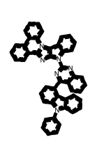 c1ccc(-n2c3ccccc3c3c(-c4nc(-n5c6ccccc6c6c5nc5c7ccccc7c7ccccc7n56)nc5ccccc45)cccc32)cc1